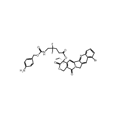 CC[C@@]1(OC(=O)CCC(F)(F)CNC(=O)OCc2ccc(N)cc2)C(=O)OCc2c1cc1n(c2=O)Cc2cc3c(Br)cccc3nc2-1